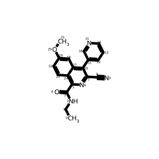 CCNC(=O)c1nc(C#N)c(-c2cccnc2)c2cc(OC)ccc12